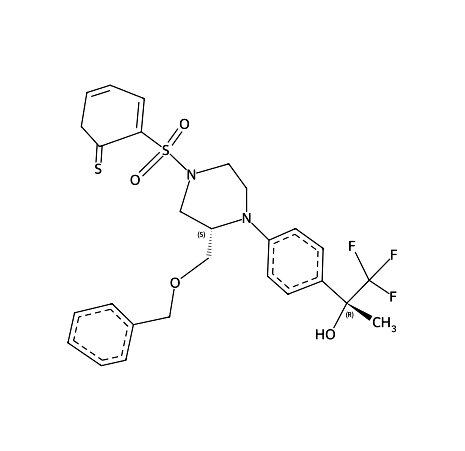 C[C@@](O)(c1ccc(N2CCN(S(=O)(=O)C3=CC=CCC3=S)C[C@H]2COCc2ccccc2)cc1)C(F)(F)F